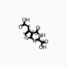 O=C(O)Cc1csc2nc(C(=O)O)[nH]c(=O)c12